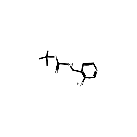 CC(C)(C)OC(=O)NCc1ccncc1N